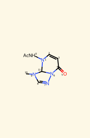 CC(=O)NN1C=CC(=O)N2N=CN(C)C12